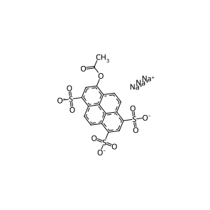 CC(=O)Oc1cc(S(=O)(=O)[O-])c2ccc3c(S(=O)(=O)[O-])cc(S(=O)(=O)[O-])c4ccc1c2c43.[Na+].[Na+].[Na+]